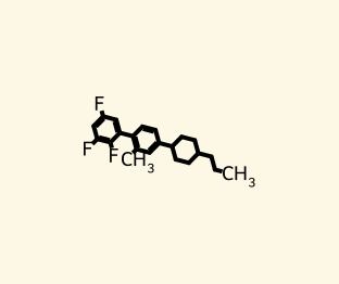 CCCC1CCC(c2ccc(-c3cc(F)cc(F)c3F)c(C)c2)CC1